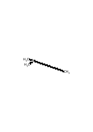 CCCCCCCCCCCCCCCCCCCCCCCCCN(CCCC)CCCC